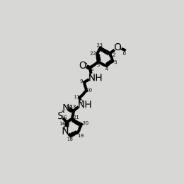 COc1ccc(C(=O)NCCCNc2nsc3ncccc23)cc1